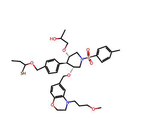 CCC(S)OCc1ccc([C@@H]2[C@@H](OCc3ccc4c(c3)N(CCCOC)CCO4)CN(S(=O)(=O)c3ccc(C)cc3)C[C@H]2OCC(C)O)cc1